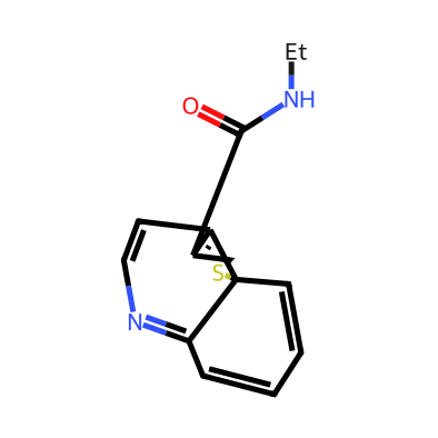 CCNC(=O)C1=C2C=CN=C3C=CC=CC32SC1